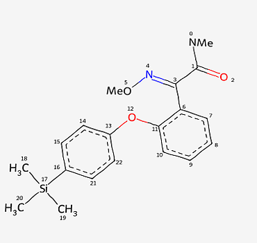 CNC(=O)/C(=N/OC)c1ccccc1Oc1ccc([Si](C)(C)C)cc1